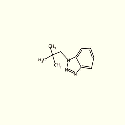 CC(C)(C)Cn1nnc2ccccc21